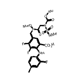 CNS(=O)(=O)N(CC(=O)N(Cc1cc(C(=O)O)c(Nc2ccc(C)cc2F)c(F)c1F)OC)C(=O)OC(C)(C)C